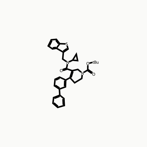 CC(C)(C)OC(=O)N1CCC(c2cccc(-c3ccccc3)c2)=C(C(=O)N(Cc2csc3ccccc23)C2CC2)C1